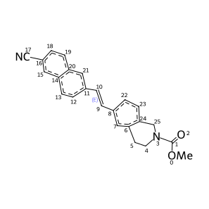 COC(=O)N1CCc2cc(/C=C/c3ccc4cc(C#N)ccc4c3)ccc2C1